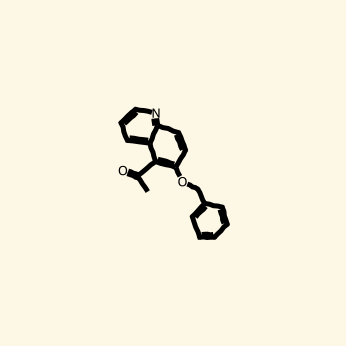 CC(=O)c1c(OCc2ccccc2)ccc2ncccc12